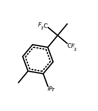 Cc1ccc(C(C)(C(F)(F)F)C(F)(F)F)cc1C(C)C